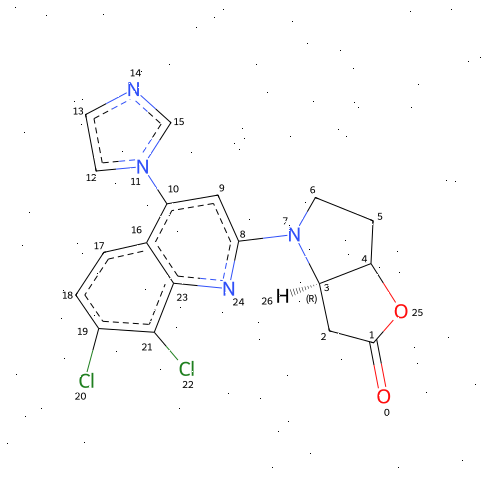 O=C1C[C@@H]2C(CCN2c2cc(-n3ccnc3)c3ccc(Cl)c(Cl)c3n2)O1